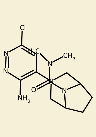 CN(C)C(=O)N1C2CCC1CN(c1cc(Cl)nnc1N)C2